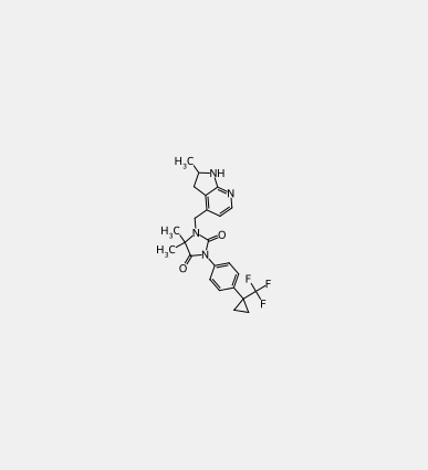 CC1Cc2c(CN3C(=O)N(c4ccc(C5(C(F)(F)F)CC5)cc4)C(=O)C3(C)C)ccnc2N1